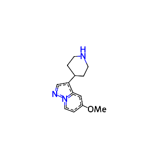 COc1ccn2ncc(C3CCNCC3)c2c1